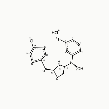 Cl.O[C@H](c1cccc(F)c1)[C@H]1CC[C@@H](Cc2ccc(Cl)cc2)N1